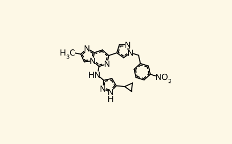 Cc1cn2c(Nc3cc(C4CC4)[nH]n3)nc(-c3cnn(Cc4cccc([N+](=O)[O-])c4)c3)cc2n1